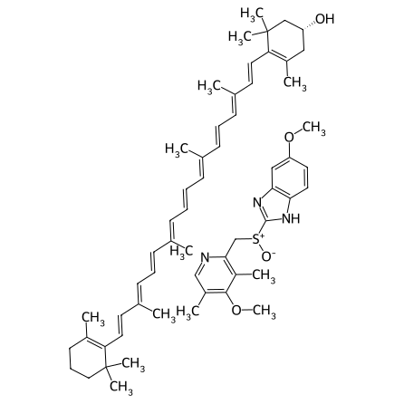 CC1=C(/C=C/C(C)=C/C=C/C(C)=C/C=C/C=C(C)/C=C/C=C(C)/C=C/C2=C(C)C[C@@H](O)CC2(C)C)C(C)(C)CCC1.COc1ccc2[nH]c([S+]([O-])Cc3ncc(C)c(OC)c3C)nc2c1